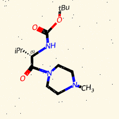 CC(C)[C@H](NC(=O)OC(C)(C)C)C(=O)N1CCN(C)CC1